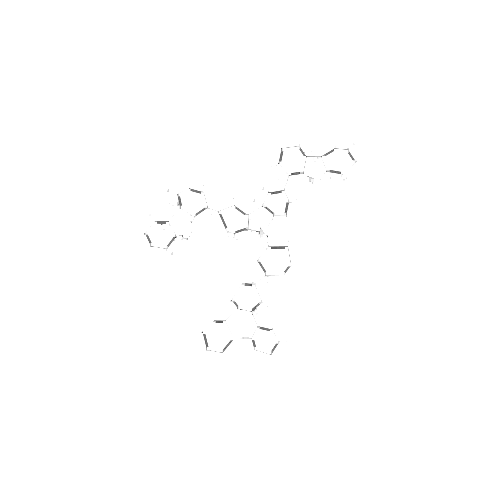 c1cc(-c2ccc3c4ccccc4c4ccccc4c3c2)cc(-n2c3ccc(-c4cccc5c4oc4ccccc45)cc3c3cc(-c4cccc5c4oc4ccccc45)ccc32)c1